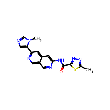 Cc1nnc(C(=O)Nc2cc3cc(-c4cncn4C)ncc3cn2)s1